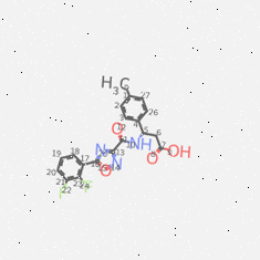 Cc1ccc(C(CC(=O)O)NC(=O)c2noc(-c3cccc(F)c3F)n2)cc1